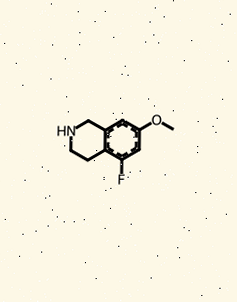 COc1cc(F)c2c(c1)CNCC2